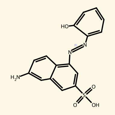 Nc1ccc2c(/N=N/c3ccccc3O)cc(S(=O)(=O)O)cc2c1